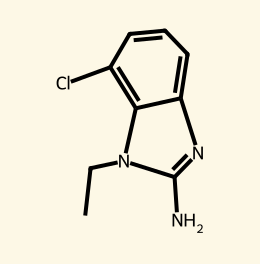 CCn1c(N)nc2cccc(Cl)c21